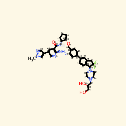 Cn1cc(-c2cnc(N)c(C(=O)N[C@H]3CCC[C@@H]3OCc3ccc(-c4ccc5c(c4)CC(F)(F)C5N4CCN(C[C@H](O)CO)CC4)cc3)c2)cn1